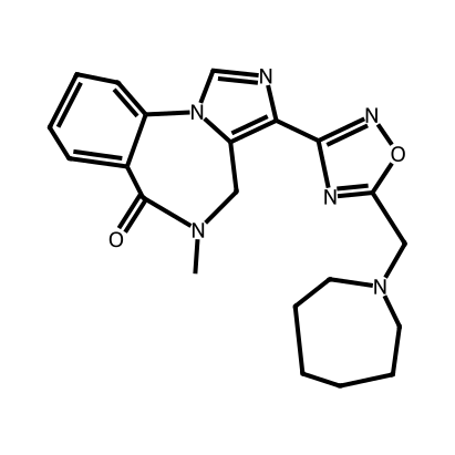 CN1Cc2c(-c3noc(CN4CCCCCC4)n3)ncn2-c2ccccc2C1=O